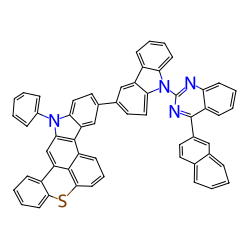 c1ccc(-n2c3ccc(-c4ccc5c(c4)c4ccccc4n5-c4nc(-c5ccc6ccccc6c5)c5ccccc5n4)cc3c3c4cccc5c4c(cc32)-c2ccccc2S5)cc1